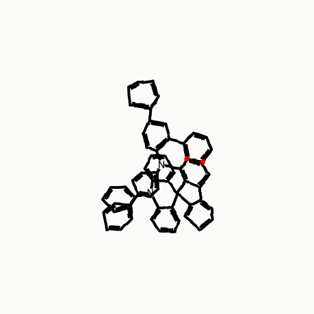 c1ccc(-c2ccc(N(c3ccc(-c4ccccc4)cc3-c3ccccc3)c3cccc4c3C3(c5ccccc5-4)c4ccccc4N(c4ccccc4)c4ccccc43)cc2)cc1